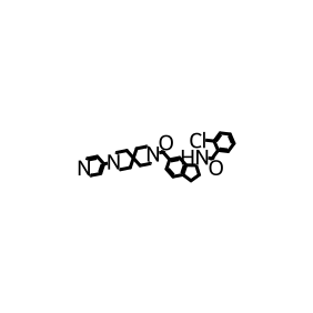 O=C(NC1CCc2ccc(C(=O)N3CCC4(CC3)CCN(c3ccncc3)CC4)cc21)c1ccccc1Cl